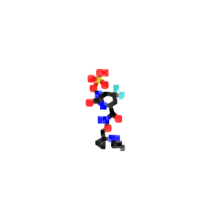 CNC1(CONC(=O)[C@@H]2CC(F)(F)C3CN2C(=O)N3OS(=O)(=O)O)CC1